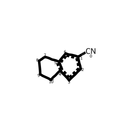 N#Cc1ccc2c(c1)CCC[CH]2